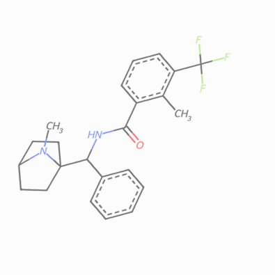 Cc1c(C(=O)NC(c2ccccc2)C23CCC(CC2)N3C)cccc1C(F)(F)F